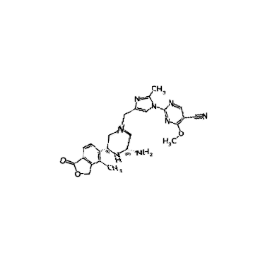 COc1nc(-n2cc(CN3C[C@@H](c4ccc5c(c4C)COC5=O)N[C@@H](N)C3)nc2C)ncc1C#N